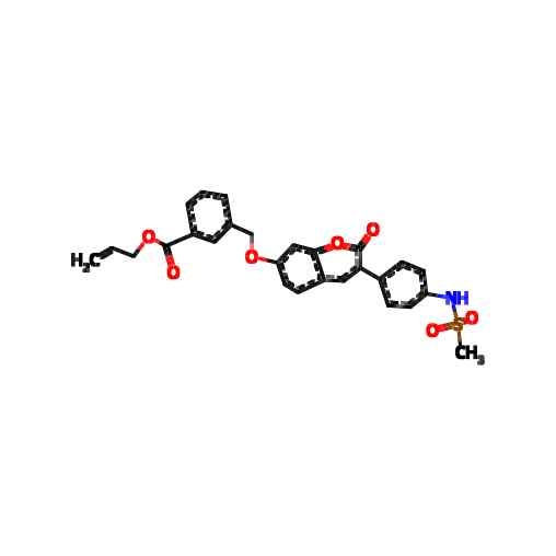 C=CCOC(=O)c1cccc(COc2ccc3cc(-c4ccc(NS(C)(=O)=O)cc4)c(=O)oc3c2)c1